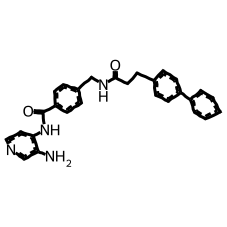 Nc1cnccc1NC(=O)c1ccc(CNC(=O)CCc2ccc(-c3ccccc3)cc2)cc1